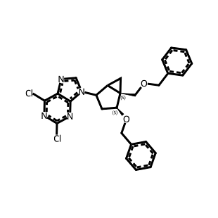 Clc1nc(Cl)c2ncn(C3C[C@H](OCc4ccccc4)[C@@]4(COCc5ccccc5)CC34)c2n1